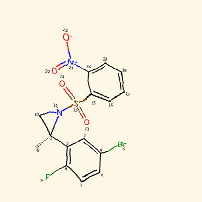 C[C@]1(c2cc(Br)ccc2F)CN1S(=O)(=O)c1ccccc1[N+](=O)[O-]